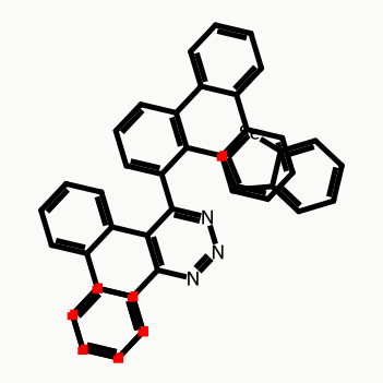 c1ccc(-c2ccccc2-c2cccc(-c3nnnc(-c4ccccc4)c3-c3ccccc3-c3ccccc3)c2-c2cc3ccccc3[se]2)cc1